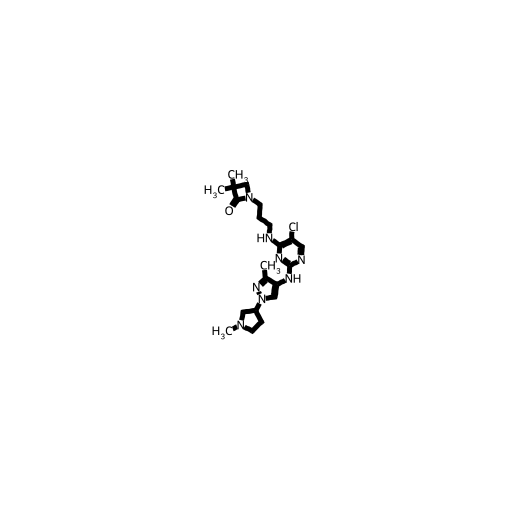 Cc1nn(C2CCN(C)C2)cc1Nc1ncc(Cl)c(NCCCN2CC(C)(C)C2=O)n1